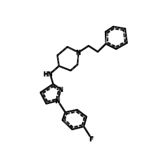 Fc1ccc(-n2ccc(NC3CCN(CCc4ccccc4)CC3)n2)cc1